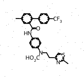 Cc1ccc(-c2ccc(C(F)(F)F)cc2)c(C(=O)Nc2ccc(N(CCc3csc(C)n3)C(=O)O)cc2)c1